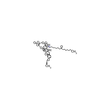 CC#CCOc1ccc(C[C@H](NC(=O)[C@@H](/C=C/CCCCCCC(=O)CCCCCCC)[C@@]2(O)CC(=O)OCc3oc(=O)oc3COC2=O)C(=O)O)cc1